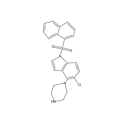 O=S(=O)(c1cccc2ccccc12)n1ccc2c(N3CCNCC3)c(Cl)ccc21